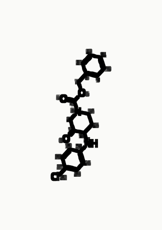 O=C1CN(C(=O)OCc2ccccc2)CCC1Nc1ccc(Cl)cc1